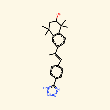 CC(=Cc1ccc(-c2nnn[nH]2)cc1)c1ccc2c(c1)C(C)(C)CC(O)C2(C)C